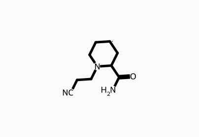 N#CCCN1CC[CH]CC1C(N)=O